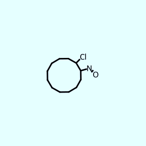 O=NC1CCCCCCCCCCC1Cl